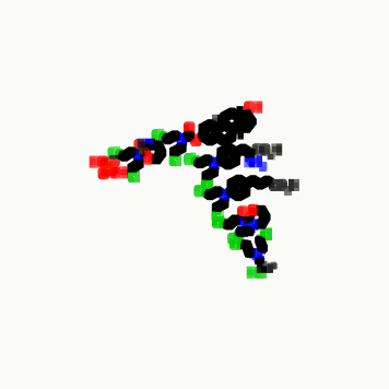 CN(CCCl)CCCl.C[C@]12CC[C@@H]3c4ccc(OC(=O)N(CCCl)CCCl)cc4CC[C@H]3[C@@H]1CC[C@@H]2O.Cl.N[C@@H](Cc1ccc(N(CCCl)CCCl)cc1)C(=O)O.O=C(O)CCCc1ccc(N(CCCl)CCCl)cc1.O=P([O-])(O)O.O=P1(N(CCCl)CCCl)NCCCO1.O=P1(NCCCl)OCCCN1CCCl.[Na+]